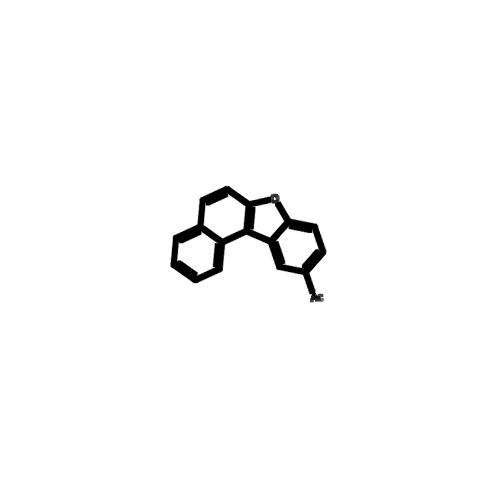 CC(=O)c1ccc2oc3ccc4ccccc4c3c2c1